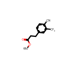 CC(C)(C)OC(=O)CCc1ccc(C#N)c(C(F)(F)F)c1